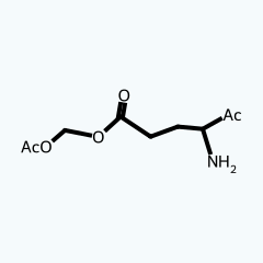 CC(=O)OCOC(=O)CCC(N)C(C)=O